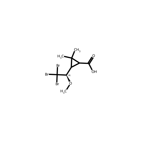 CO[C@H](C1C(C(=O)O)C1(C)C)C(Br)(Br)Br